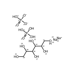 O=P(O)(O)O.O=P([O-])([O-])O.OCC(O)C(O)C(O)C(O)CO.[Na+].[Na+]